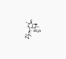 CCOC(=O)c1c(C)[nH]c2c(=O)n(C)cc(C#CC3(C)COC3)c12